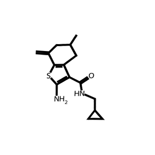 C=C1CC(C)Cc2c1sc(N)c2C(=O)NCC1CC1